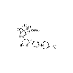 CO[C@H]1CN(C(=O)C(CC(C)C)NC(=O)c2ccc(N3CCN(C4CC4)CC3)cc2)[C@@H]2C(=O)CO[C@H]12